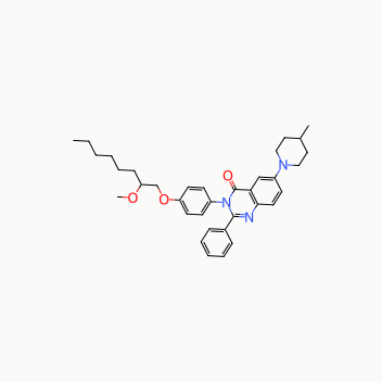 CCCCCCC(COc1ccc(-n2c(-c3ccccc3)nc3ccc(N4CCC(C)CC4)cc3c2=O)cc1)OC